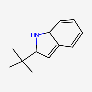 CC(C)(C)C1C=C2C=CC=CC2N1